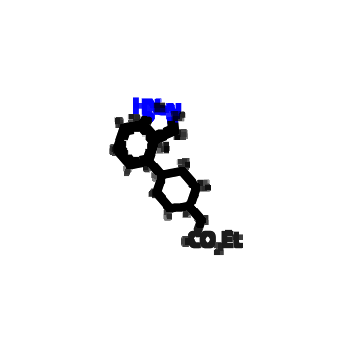 CCOC(=O)CC1CCC(c2cccc3[nH]ncc23)CC1